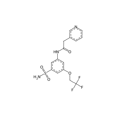 NS(=O)(=O)c1cc(NC(=O)Cc2cccnc2)cc(OCC(F)(F)F)c1